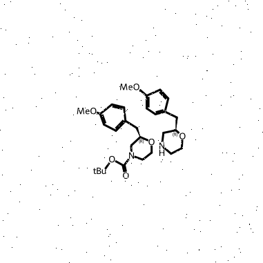 COc1ccc(C[C@@H]2CN(C(=O)OC(C)(C)C)CCO2)cc1.COc1ccc(C[C@@H]2CNCCO2)cc1